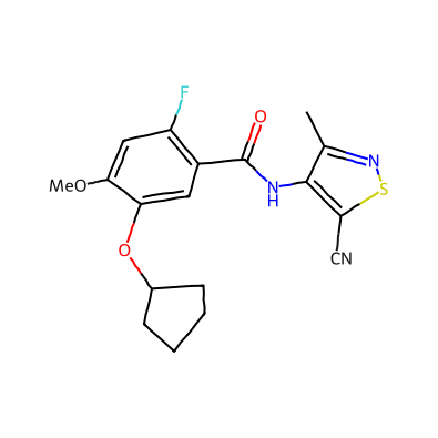 COc1cc(F)c(C(=O)Nc2c(C)nsc2C#N)cc1OC1CCCC1